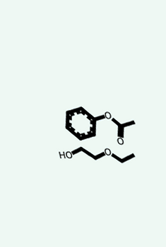 CC(=O)Oc1ccccc1.CCOCCO